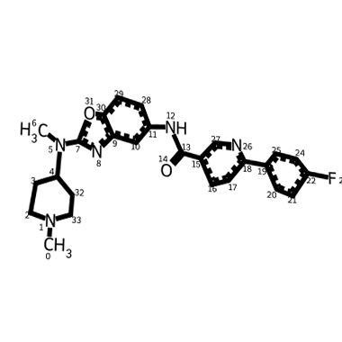 CN1CCC(N(C)c2nc3cc(NC(=O)c4ccc(-c5ccc(F)cc5)nc4)ccc3o2)CC1